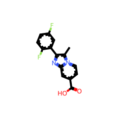 Cc1c(-c2cc(F)ccc2F)nc2cc(C(=O)O)ccn12